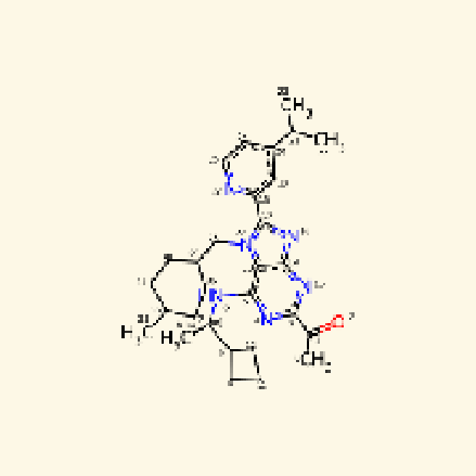 CC(=O)c1nc(N[C@H](C)C2CCC2)c2c(n1)nc(-c1cc(C(C)C)ccn1)n2CC1CCC(C)CC1